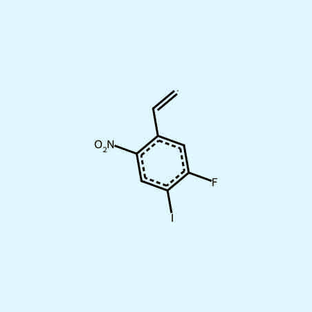 [CH]=Cc1cc(F)c(I)cc1[N+](=O)[O-]